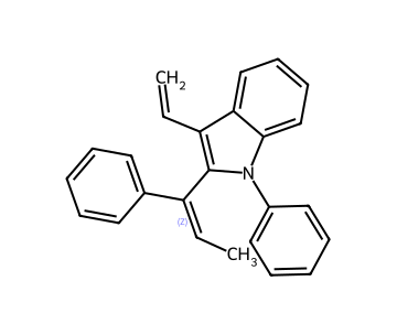 C=Cc1c(/C(=C\C)c2ccccc2)n(-c2ccccc2)c2ccccc12